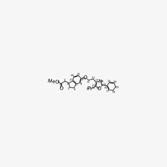 COC(=O)CC1CCc2cc(OCCc3nc(C4=CCCC=C4)oc3C(C)C)ccc21